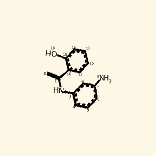 C=C(Nc1cccc(N)c1)c1ccccc1O